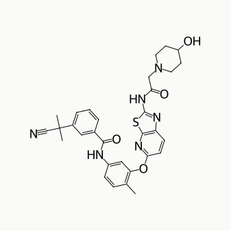 Cc1ccc(NC(=O)c2cccc(C(C)(C)C#N)c2)cc1Oc1ccc2nc(NC(=O)CN3CCC(O)CC3)sc2n1